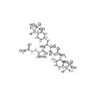 CC(=O)N[C@@H](CCC(N)=O)C(=O)N[C@@H](Cc1ccc(C(F)(F)P(=O)(O)O)cc1)C(=O)N[C@@H](Cc1ccc(C(F)(F)P(=O)(O)O)cc1)C(N)=O